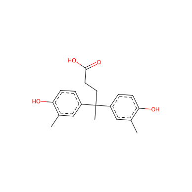 Cc1cc(C(C)(CCC(=O)O)c2ccc(O)c(C)c2)ccc1O